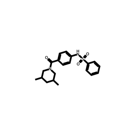 CC1CC(C)CN(C(=O)c2ccc(NS(=O)(=O)c3ccccc3)cc2)C1